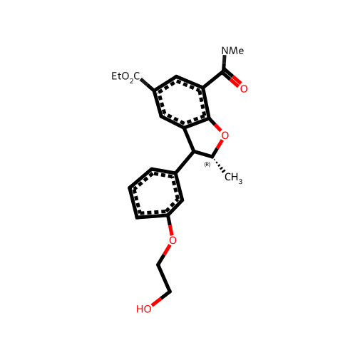 CCOC(=O)c1cc(C(=O)NC)c2c(c1)C(c1cccc(OCCO)c1)[C@@H](C)O2